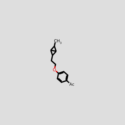 CC(=O)c1ccc(OCCC2C3C(C)C23)cc1